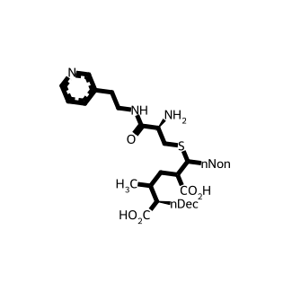 CCCCCCCCCC[C@@H](C(=O)O)C(C)CC(C(=O)O)C(CCCCCCCCC)SC[C@H](N)C(=O)NCCc1cccnc1